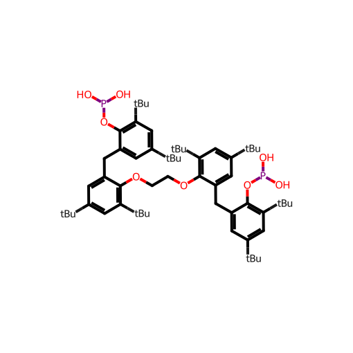 CC(C)(C)c1cc(Cc2cc(C(C)(C)C)cc(C(C)(C)C)c2OP(O)O)c(OCCOc2c(Cc3cc(C(C)(C)C)cc(C(C)(C)C)c3OP(O)O)cc(C(C)(C)C)cc2C(C)(C)C)c(C(C)(C)C)c1